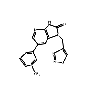 O=c1[nH]c2ncc(-c3cccc(C(F)(F)F)c3)cc2n1Cc1csnn1